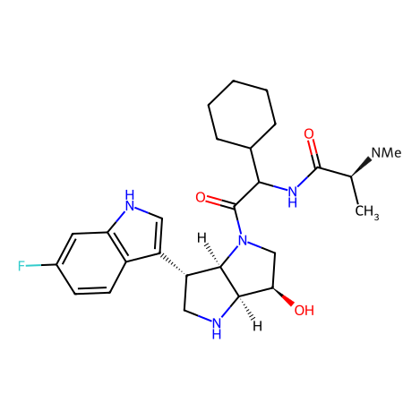 CN[C@@H](C)C(=O)NC(C(=O)N1C[C@@H](O)[C@H]2NC[C@H](c3c[nH]c4cc(F)ccc34)[C@H]21)C1CCCCC1